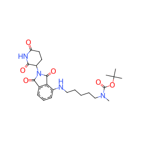 CN(CCCCCNc1cccc2c1C(=O)N(C1CCC(=O)NC1=O)C2=O)C(=O)OC(C)(C)C